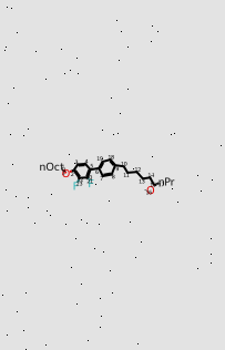 CCCCCCCCOc1ccc(-c2ccc(CCCCCC([O])CCC)cc2)c(F)c1F